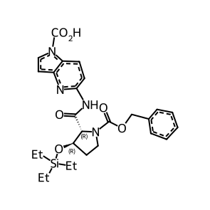 CC[Si](CC)(CC)O[C@@H]1CCN(C(=O)OCc2ccccc2)[C@H]1C(=O)Nc1ccc2c(ccn2C(=O)O)n1